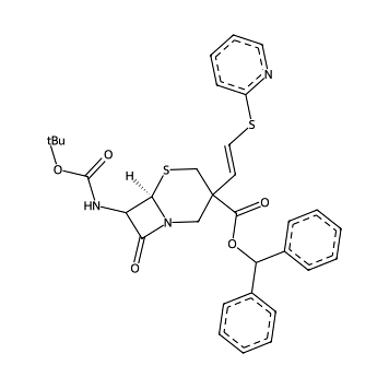 CC(C)(C)OC(=O)NC1C(=O)N2CC(C=CSc3ccccn3)(C(=O)OC(c3ccccc3)c3ccccc3)CS[C@H]12